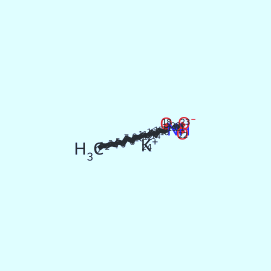 CCCCCCCCCCCCCCCCCC(=O)NCC(=O)[O-].[K+]